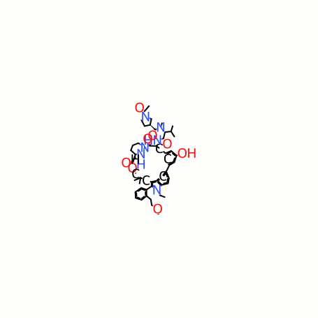 CCn1c(-c2ccccc2CCOC)c2c3cc(ccc31)-c1cc(O)cc(c1)C[C@H](NC(=O)C(C(C)C)N(C)C(=O)[C@H]1CCN(C(C)=O)C1)C(=O)N1CCC[C@H](N1)C(=O)OCC(C)(C)C2